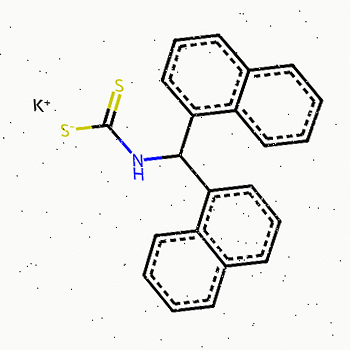 S=C([S-])NC(c1cccc2ccccc12)c1cccc2ccccc12.[K+]